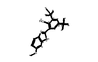 COc1ccc2nc(-c3cc(C(C)(C)C)cc(C(C)(C)C)c3O)[nH]c2c1